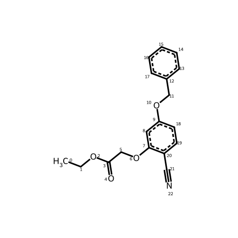 CCOC(=O)COc1cc(OCc2ccccc2)ccc1C#N